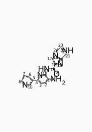 Nc1ccc(-c2cccnc2)nc1NC(=O)c1cn2c(n1)CNCC2